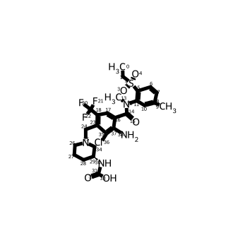 CCS(=O)(=O)c1ccc(C)cc1N(C)C(=O)c1cc(C(F)(F)F)c(CN2CCC[C@@H](NC(=O)O)C2)c(Cl)c1N